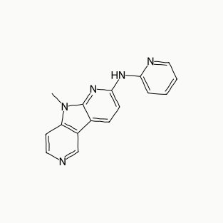 Cn1c2ccncc2c2ccc(Nc3ccccn3)nc21